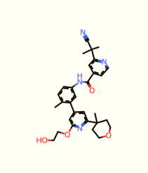 Cc1ccc(NC(=O)c2ccnc(C(C)(C)C#N)c2)cc1-c1cc(OCCO)nc(C2(C)CCOCC2)c1